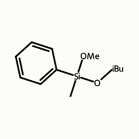 CCC(C)O[Si](C)(OC)c1ccccc1